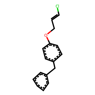 ClC=CCOc1ccc(Cc2ccccc2)cc1